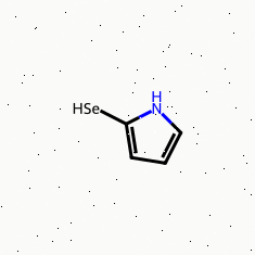 [SeH]c1ccc[nH]1